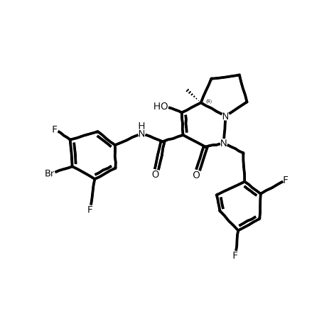 C[C@]12CCCN1N(Cc1ccc(F)cc1F)C(=O)C(C(=O)Nc1cc(F)c(Br)c(F)c1)=C2O